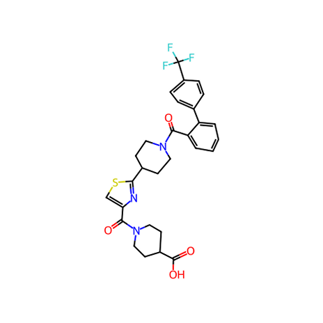 O=C(O)C1CCN(C(=O)c2csc(C3CCN(C(=O)c4ccccc4-c4ccc(C(F)(F)F)cc4)CC3)n2)CC1